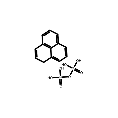 C1=Cc2cccc3cccc(c23)C1.O=P(O)(O)OP(=O)(O)O